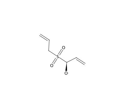 C=CCS(=O)(=O)[C@H]([O])C=C